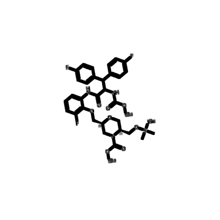 CC(C)(C)OC(=O)NC(C(=O)Nc1cccc(F)c1OC[C@@H]1CN(C(=O)OC(C)(C)C)[C@H](CO[Si](C)(C)C(C)(C)C)CO1)C(c1ccc(F)cc1)c1ccc(F)cc1